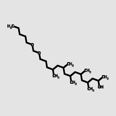 CCCCCOCOCCCC(C)CC(C)CC(C)CC(C)CC(C)CC(C)O